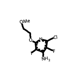 COCCOc1nc(Cl)c(F)c(N)c1I